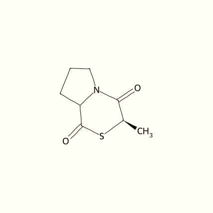 C[C@H]1SC(=O)C2CCCN2C1=O